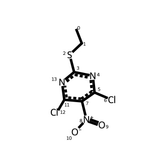 CCSc1nc(Cl)c([N+](=O)[O-])c(Cl)n1